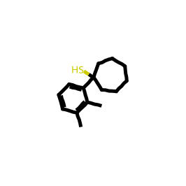 Cc1cccc(C2(S)CCCCCC2)c1C